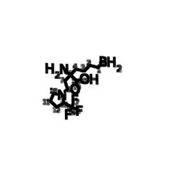 BCCCCC(N)(CCN1CCCC1C(F)(F)F)C(=O)O